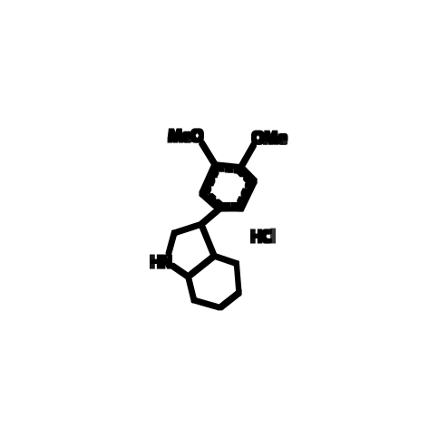 COc1ccc(C2CNC3CCCCC32)cc1OC.Cl